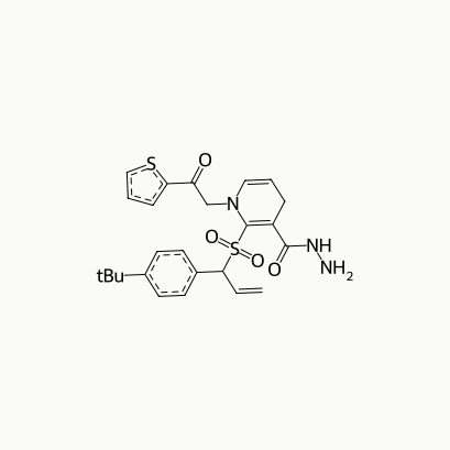 C=CC(c1ccc(C(C)(C)C)cc1)S(=O)(=O)C1=C(C(=O)NN)CC=CN1CC(=O)c1cccs1